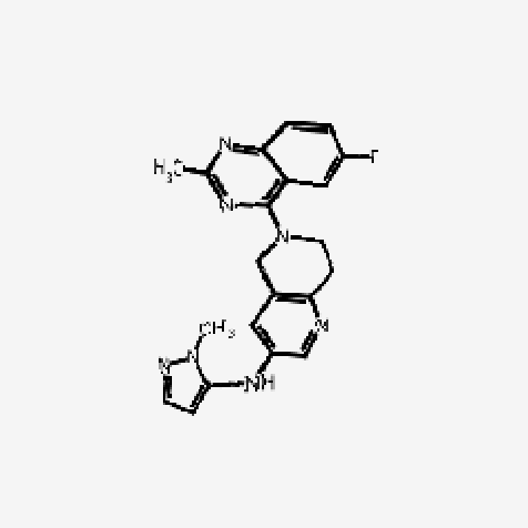 Cc1nc(N2CCc3ncc(Nc4ccnn4C)cc3C2)c2cc(F)ccc2n1